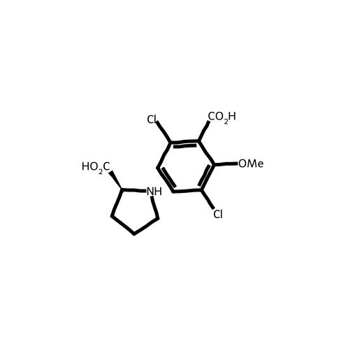 COc1c(Cl)ccc(Cl)c1C(=O)O.O=C(O)[C@@H]1CCCN1